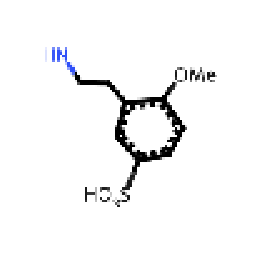 COc1ccc(S(=O)(=O)O)cc1CC[NH]